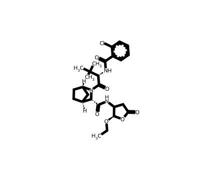 CCO[C@@H]1OC(=O)CC1NC(=O)[C@@H]1[C@H]2CC[C@H](C2)N1C(=O)[C@@H](NC(=O)c1ccccc1Cl)C(C)(C)C